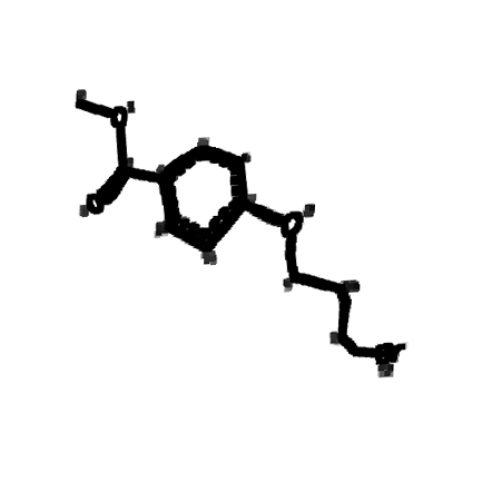 COC(=O)c1ccc(OCCCBr)cc1